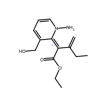 C=C(CC)/C(C(=O)OCC)=C1/C(CO)=CC=CN1N